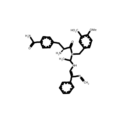 C=N/C(=C\NC(C)N(Cc1ccc(OC)c(C(=O)O)c1)C(=O)[C@@H](N)Cc1ccc(C(N)=O)cc1)c1ccccc1